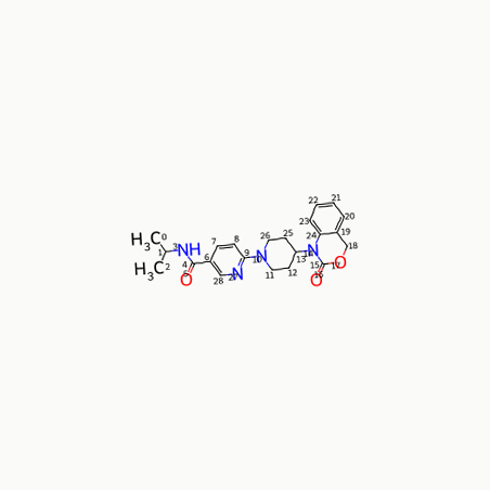 CC(C)NC(=O)c1ccc(N2CCC(N3C(=O)OCc4ccccc43)CC2)nc1